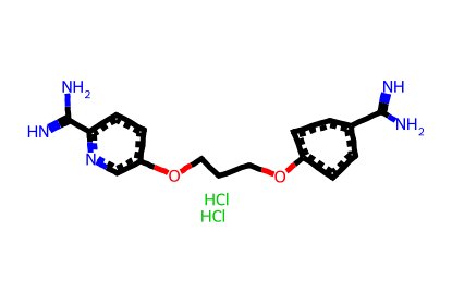 Cl.Cl.N=C(N)c1ccc(OCCCOc2ccc(C(=N)N)nc2)cc1